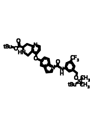 CC(C)(C)OC(=O)C1Cc2nccc(Oc3ccc4c(ccn4C(=O)Nc4cc(CO[Si](C)(C)C(C)(C)C)cc(C(F)(F)F)c4)c3)c2CN1